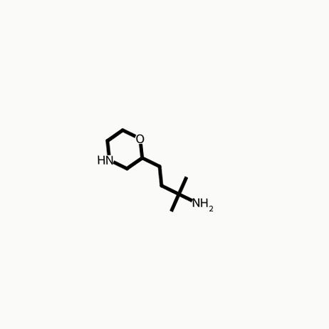 CC(C)(N)CCC1CNCCO1